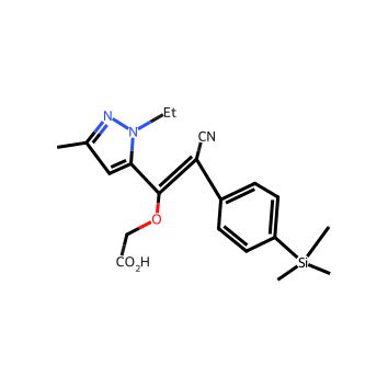 CCn1nc(C)cc1C(OCC(=O)O)=C(C#N)c1ccc([Si](C)(C)C)cc1